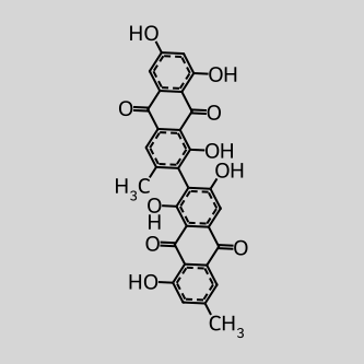 Cc1cc(O)c2c(c1)C(=O)c1cc(O)c(-c3c(C)cc4c(c3O)C(=O)c3c(O)cc(O)cc3C4=O)c(O)c1C2=O